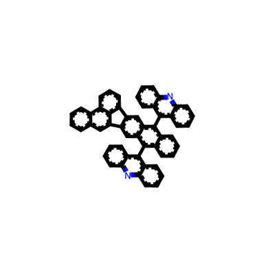 c1ccc2c(c1)cc1c3c(cccc32)-c2cc3c(-c4c5ccccc5nc5ccccc45)c4ccccc4c(-c4c5ccccc5nc5ccccc45)c3cc2-1